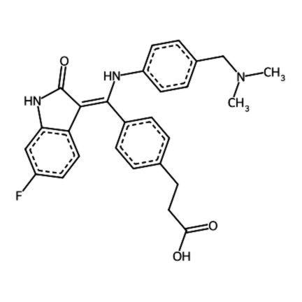 CN(C)Cc1ccc(N/C(=C2\C(=O)Nc3cc(F)ccc32)c2ccc(CCC(=O)O)cc2)cc1